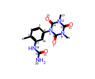 Cc1ccc(-n2c(=O)n(C)c(=O)n(C)c2=O)cc1NC(N)=O